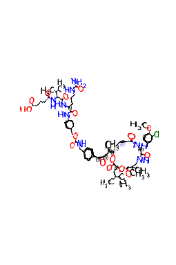 COc1ccc(C[C@H]2NC(=O)/C=C/C[C@@H]([C@H](C)[C@@H]3O[C@H]3c3ccc(CNC(=O)OCc4ccc(NC(=O)[C@H](CCCNC(N)=O)NC(=O)C(NC(=O)CCCC(=O)O)C(C)C)cc4)cc3)OC(=O)[C@H](CC(C)C)OC(=O)C(C)(C)CNC2=O)cc1Cl